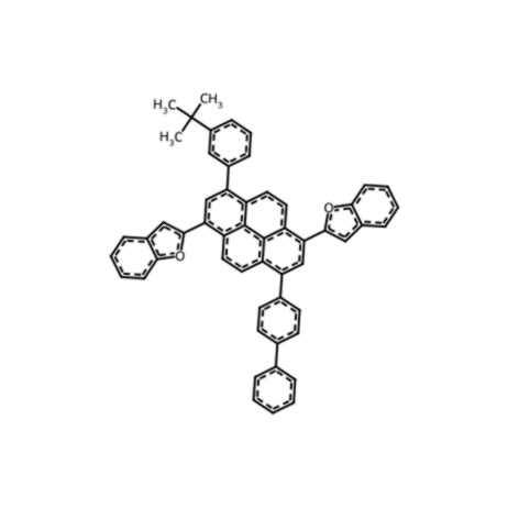 CC(C)(C)c1cccc(-c2cc(-c3cc4ccccc4o3)c3ccc4c(-c5ccc(-c6ccccc6)cc5)cc(-c5cc6ccccc6o5)c5ccc2c3c45)c1